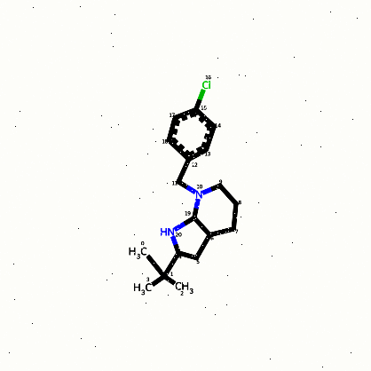 CC(C)(C)C1CC2CCCN(Cc3ccc(Cl)cc3)C2N1